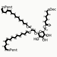 CCCCC/C=C\C/C=C\CCCCCCCCOC[C@H](CO[C@@H]1O[C@H](COC(=O)CCCCCCCCCCCCCCC)[C@H](O)[C@H](O)[C@H]1O)OCCCCCCCC/C=C\C/C=C\CCCCC